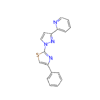 c1ccc(-c2csc(-n3ccc(-c4ccccn4)n3)n2)cc1